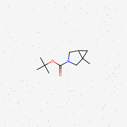 CC(C)(C)OC(=O)N1CC2CC2(C)C1